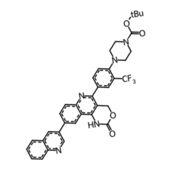 CC(C)(C)OC(=O)N1CCN(c2ccc(-c3nc4ccc(-c5cnc6ccccc6c5)cc4c4c3COC(=O)N4)cc2C(F)(F)F)CC1